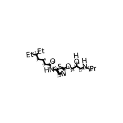 CCC(CC)CCCC(=O)Nc1cnc(OCC(O)CNC(C)C)s1